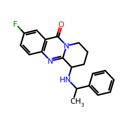 CC(NC1CCCn2c1nc1ccc(F)cc1c2=O)c1ccccc1